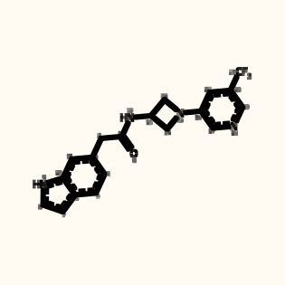 O=C(Cc1ccc2cc[nH]c2c1)NC1CN(c2cncc(C(F)(F)F)c2)C1